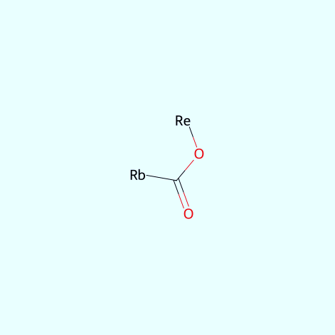 O=[C]([Rb])[O][Re]